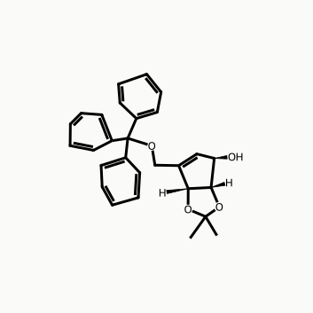 CC1(C)O[C@H]2[C@H](O)C=C(COC(c3ccccc3)(c3ccccc3)c3ccccc3)[C@H]2O1